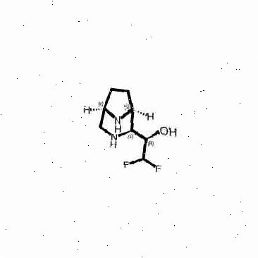 O[C@@H](C(F)F)[C@H]1NC[C@H]2CC[C@@H]1N2